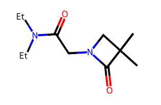 CCN(CC)C(=O)CN1CC(C)(C)C1=O